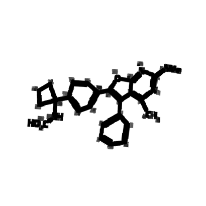 CSc1nc(C)c2c(-c3ccccc3)c(-c3ccc(C4(NC(=O)O)CCC4)cc3)oc2n1